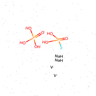 O=P(O)(O)F.O=P(O)(O)O.[NaH].[NaH].[V].[V]